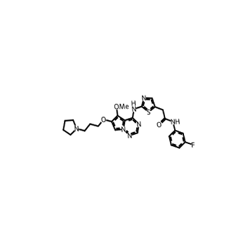 COc1c(OCCCN2CCCC2)cn2ncnc(Nc3ncc(CC(=O)Nc4cccc(F)c4)s3)c12